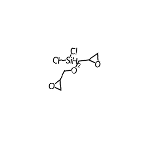 C(OCC1CO1)C1CO1.Cl[SiH2]Cl